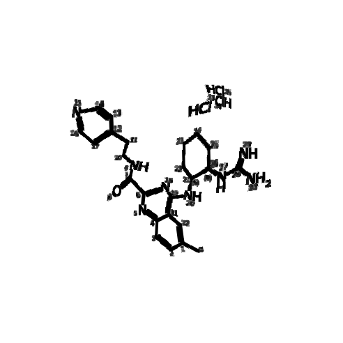 Cc1ccc2nc(C(=O)NCCc3ccncc3)nc(N[C@H]3CCCC[C@H]3NC(=N)N)c2c1.Cl.Cl.Cl